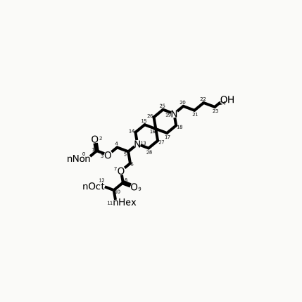 CCCCCCCCCC(=O)OCC(COC(=O)C(CCCCCC)CCCCCCCC)N1CCC2(CCN(CCCCO)CC2)CC1